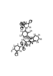 Cc1ccc(S(=O)(=O)N[C@@H](Cc2ccc(C3CC(=O)NS3(=O)=O)c(C)c2)c2nc3ccccc3[nH]2)cc1Cl